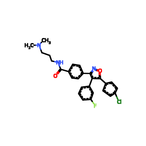 CN(C)CCCNC(=O)c1ccc(-c2noc(-c3ccc(Cl)cc3)c2-c2cccc(F)c2)cc1